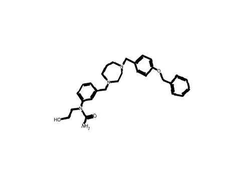 NC(=O)N(CCO)c1cccc(CN2CCCN(Cc3ccc(OCc4ccccc4)cc3)CC2)c1